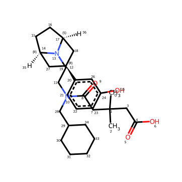 CC(C)(CC(=O)O)CC(=O)N(CCN1[C@@H]2CC[C@H]1C[C@@H](c1cccc(O)c1)C2)CC1CCCCC1